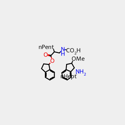 CCCCCC(CNC(=O)O)C(=O)OC1CCc2ccccc21.CCCCCCCN.[C]OC1Cc2ccccc2C1